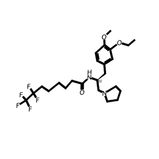 CCOc1cc(C[C@@H](CN2CCCC2)NC(=O)CCCCCC(F)(F)C(F)(F)F)ccc1OC